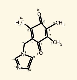 CC1=C(C)C(=O)C(Cn2ccnc2)=C(C)C1=O